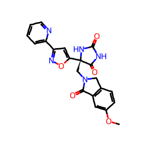 COc1ccc2c(c1)C(=O)N(C[C@@]1(c3cc(-c4ccccn4)no3)NC(=O)NC1=O)C2